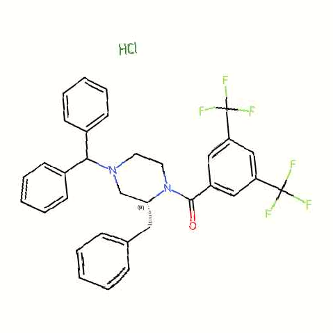 Cl.O=C(c1cc(C(F)(F)F)cc(C(F)(F)F)c1)N1CCN(C(c2ccccc2)c2ccccc2)C[C@H]1Cc1ccccc1